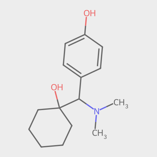 CN(C)C(c1ccc(O)cc1)C1(O)CCCCC1